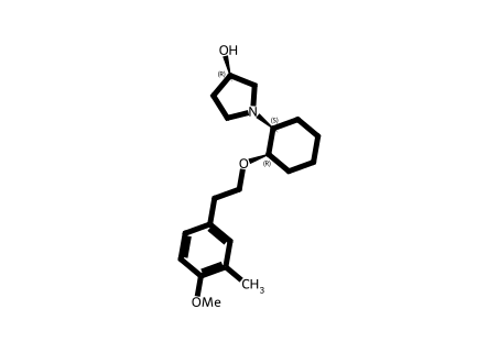 COc1ccc(CCO[C@@H]2CCCC[C@@H]2N2CC[C@@H](O)C2)cc1C